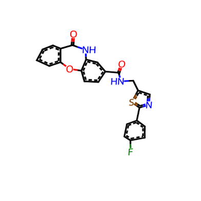 O=C(NCc1cnc(-c2ccc(F)cc2)s1)c1ccc2c(c1)NC(=O)c1ccccc1O2